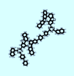 c1ccc(-c2ccc(-c3nc(-c4cc(-n5c6cc7ccccc7cc6c6c7ccc(-c8ccc(-c9ccc(-c%10nc(-c%11ccc%12ccccc%12c%11)nc(-c%11cc(-n%12c%13cc%14ccccc%14cc%13c%13cc%14ccccc%14cc%13%12)c%12c(c%11)oc%11ccccc%11%12)n%10)cc9)cc8)cc7ccc65)c5c(c4)oc4c6ccccc6ccc45)nc(-c4cccc5ccccc45)n3)cc2)cc1